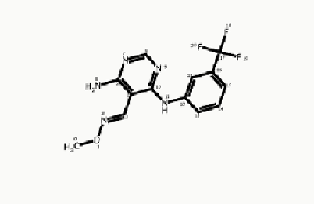 CON=Cc1c(N)ncnc1Nc1cccc(C(F)(F)F)c1